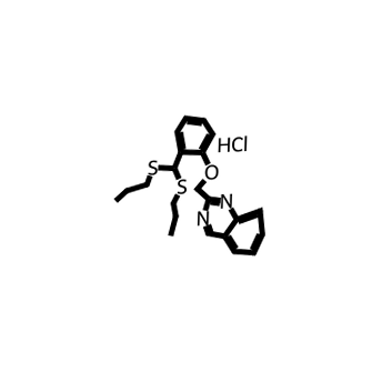 CCCSC(SCCC)c1ccccc1OCc1ncc2ccccc2n1.Cl